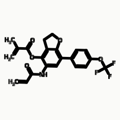 C=CC(=O)Nc1cc(-c2ccc(OC(F)(F)F)cc2)c2c(c1OC(=O)C(=C)C)CCO2